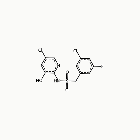 O=S(=O)(Cc1cc(F)cc(Cl)c1)Nc1ncc(Cl)cc1O